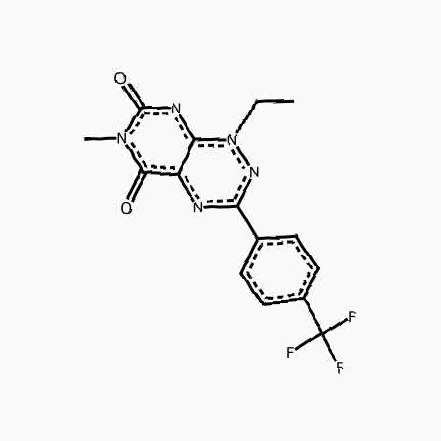 CCn1nc(-c2ccc(C(F)(F)F)cc2)nc2c(=O)n(C)c(=O)nc1-2